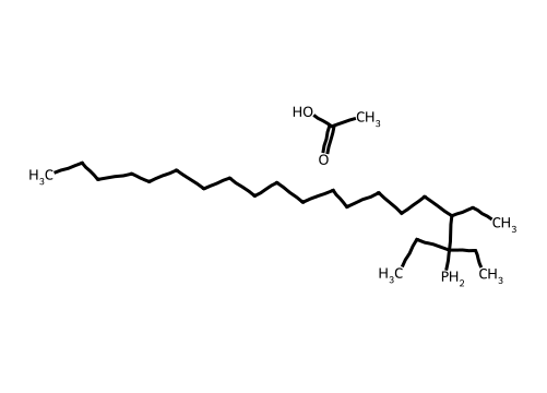 CC(=O)O.CCCCCCCCCCCCCCCCC(CC)C(P)(CC)CC